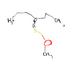 CC[SiH](CC)SOC